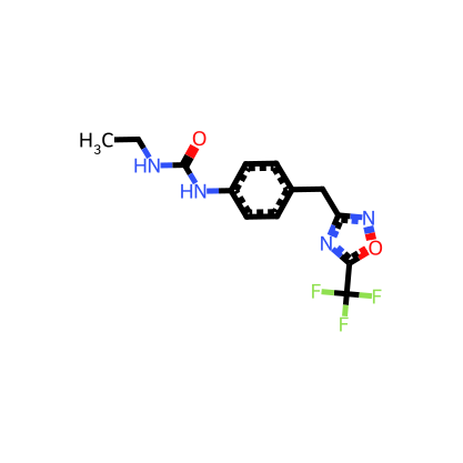 CCNC(=O)Nc1ccc(Cc2noc(C(F)(F)F)n2)cc1